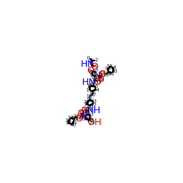 CC(C)NC(=O)O[C@@H]1C[C@@H](C(=O)Nc2ccc(/C=C/c3ccc(NC(=O)[C@@H]4C[C@@H](O)CN4C(=O)OCc4ccccc4)cc3)cc2)N(C(=O)OCc2ccccc2)C1